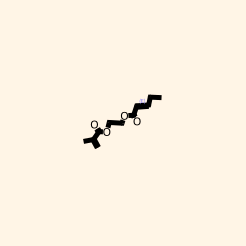 C=C(C)C(=O)OCCOC(=O)/C=C/CC